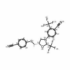 N#Cc1ccc(SC[C@@H]2CN(c3ccc(C#N)c(C(F)(F)F)c3)[C@@H](C(F)(F)F)O2)cc1